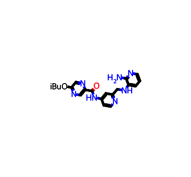 CC(C)COc1cnc(C(=O)Nc2ccnc(CNc3cccnc3N)c2)cn1